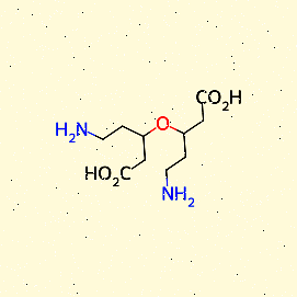 NCCC(CC(=O)O)OC(CCN)CC(=O)O